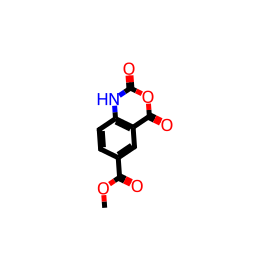 COC(=O)c1ccc2[nH]c(=O)oc(=O)c2c1